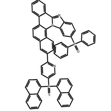 O=P(c1ccccc1)(c1ccccc1)c1ccc2nc3c4ccccc4c4ccc5cc(-c6ccc(P(=S)(c7cccc8ccccc78)c7cccc8ccccc78)cn6)ccc5c4n3c2c1